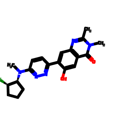 Cc1nc2cc(-c3ccc(N(C)[C@@H]4CCC[C@@H]4F)nn3)c(O)cc2c(=O)n1C